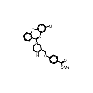 COC(=O)c1ccc(OCC2CN(C3=Nc4cc(Cl)ccc4Oc4ccccc43)CCN2)cc1